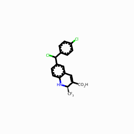 O=C(O)C1=Cc2cc(C(Cl)c3ccc(Cl)cc3)ccc2N[C@@H]1C(F)(F)F